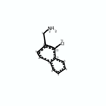 NCc1ccc2ccccc2c1Cl